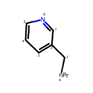 CCCCc1cccnc1